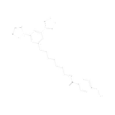 CCCCOc1ccc(C(=O)NCCNCCCNc2cc(N3CCCC3)nc(N3CCCC3)n2)cc1